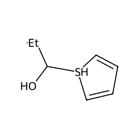 C[CH]C(O)[SH]1C=CC=C1